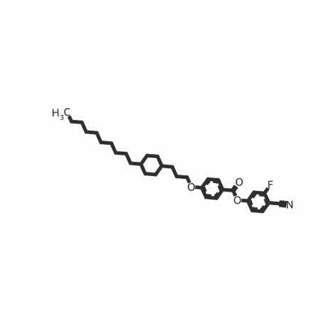 CCCCCCCCCCC1CCC(CCCOc2ccc(C(=O)Oc3ccc(C#N)c(F)c3)cc2)CC1